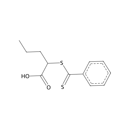 CCCC(SC(=S)c1ccccc1)C(=O)O